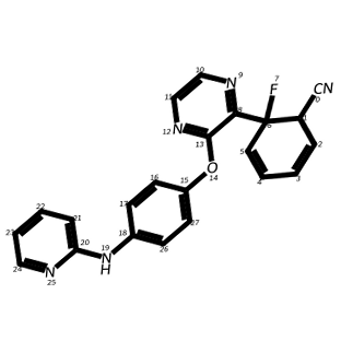 N#CC1C=CC=CC1(F)c1nccnc1Oc1ccc(Nc2ccccn2)cc1